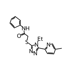 CCn1c(SCC(=O)Nc2ccccc2)nnc1-c1ccc(C)cn1